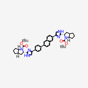 CC(C)(C)OC(=O)N1[C@H](c2nc(-c3ccc4cc(-c5ccc(-c6c[nH]c([C@@H]7C[C@@H]8CCC[C@@H]8N7C(=O)OC(C)(C)C)n6)cc5)ccc4c3)c[nH]2)CC2CCC[C@@H]21